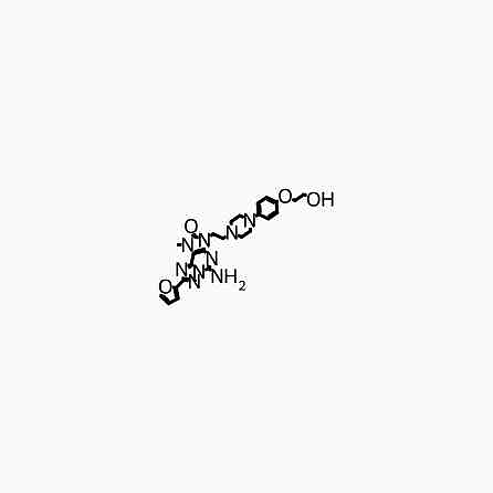 Cn1c(=O)n(CCN2CCN(c3ccc(OCCO)cc3)CC2)c2nc(N)n3nc(-c4ccco4)nc3c21